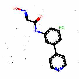 Cl.O=C(C=NO)Nc1cccc(-c2ccncc2)c1